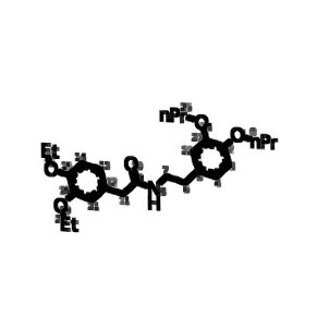 CCCOc1ccc(CCNC(=O)Cc2ccc(OCC)c(OCC)c2)cc1OCCC